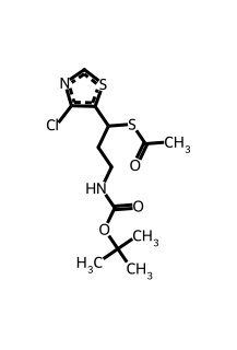 CC(=O)SC(CCNC(=O)OC(C)(C)C)c1scnc1Cl